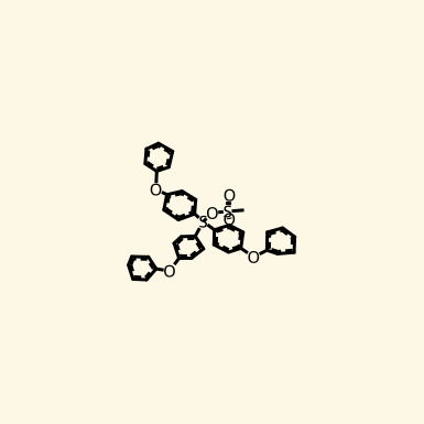 CS(=O)(=O)OS(c1ccc(Oc2ccccc2)cc1)(c1ccc(Oc2ccccc2)cc1)c1ccc(Oc2ccccc2)cc1